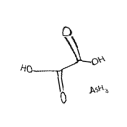 O=C(O)C(=O)O.[AsH3]